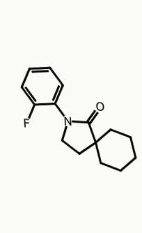 O=C1N(c2ccccc2F)CCC12CCCCC2